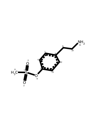 CS(=O)(=O)Oc1ccc(CCN)cc1